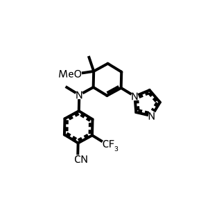 COC1(C)CCC(n2ccnc2)=CC1N(C)c1ccc(C#N)c(C(F)(F)F)c1